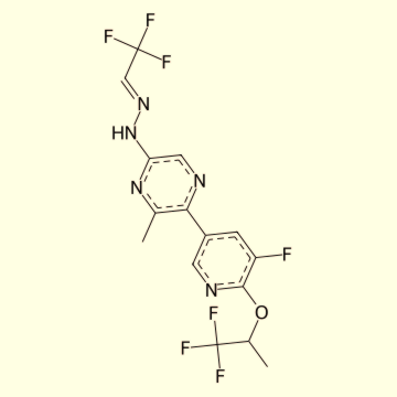 Cc1nc(NN=CC(F)(F)F)cnc1-c1cnc(OC(C)C(F)(F)F)c(F)c1